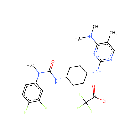 Cc1cnc(N[C@H]2CC[C@@H](NC(=O)N(C)c3ccc(F)c(F)c3)CC2)nc1N(C)C.O=C(O)C(F)(F)F